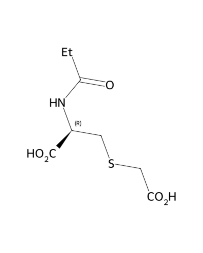 CCC(=O)N[C@@H](CSCC(=O)O)C(=O)O